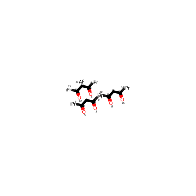 CC(C)C(=O)CC(=O)C(C)C.CC(C)C(=O)CC(=O)C(C)C.CC(C)C(=O)CC(=O)C(C)C.[Al]